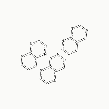 c1cc2nccnc2cn1.c1cnc2nccnc2c1.c1cnc2ncncc2c1